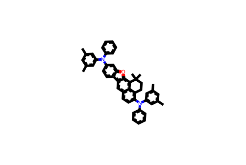 Cc1cc(C)cc(N(c2ccccc2)c2ccc3c(c2)oc2c4c5c(c(N(c6ccccc6)c6cc(C)cc(C)c6)ccc5cc23)CCC4(C)C)c1